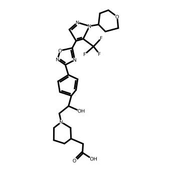 O=C(O)CC1CCCN(CC(O)c2ccc(-c3noc(-c4cnn(C5CCOCC5)c4C(F)(F)F)n3)cc2)C1